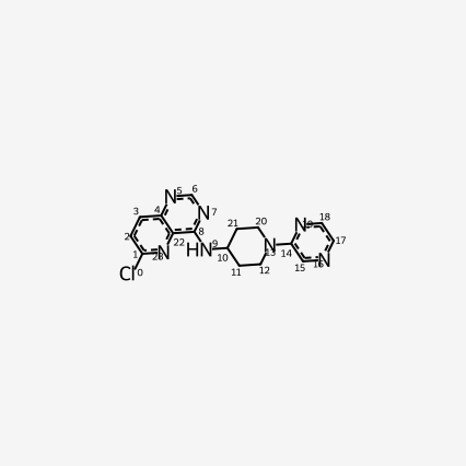 Clc1ccc2ncnc(NC3CCN(c4cnccn4)CC3)c2n1